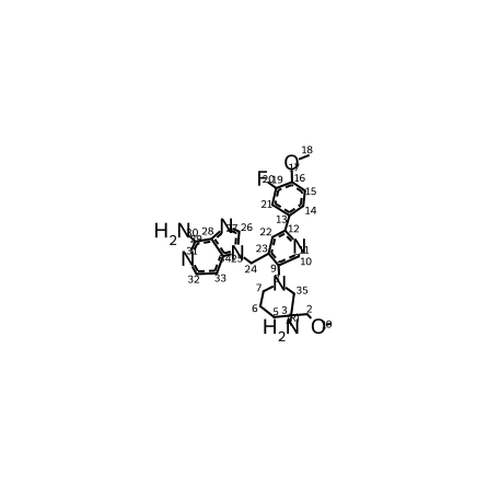 COC[C@@]1(N)CCCN(c2cnc(-c3ccc(OC)c(F)c3)cc2Cn2cnc3c(N)nccc32)C1